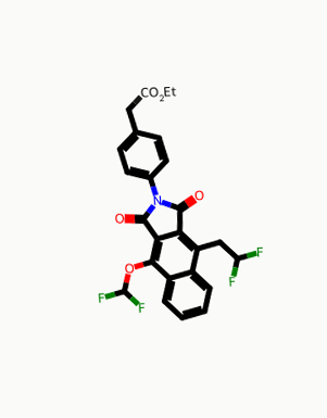 CCOC(=O)Cc1ccc(N2C(=O)c3c(c(OC(F)F)c4ccccc4c3CC(F)F)C2=O)cc1